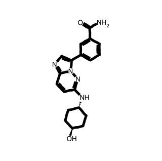 NC(=O)c1cccc(-c2cnc3ccc(N[C@H]4CC[C@H](O)CC4)nn23)c1